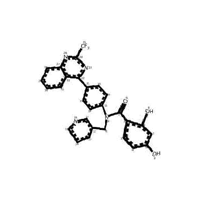 O=C(c1ccc(O)cc1O)N(Cc1cccnc1)c1ccc(-c2nc(C(F)(F)F)nc3ccccc23)cc1